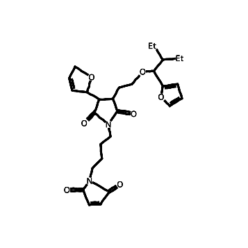 CCC(CC)C(OCCC1C(=O)N(CCCCN2C(=O)C=CC2=O)C(=O)C1C1C=CCO1)c1ccco1